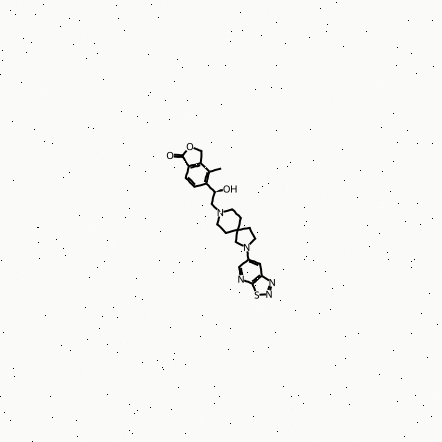 Cc1c([C@@H](O)CN2CCC3(CC2)CCN(c2cnc4snnc4c2)C3)ccc2c1COC2=O